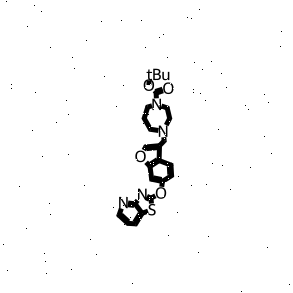 CC(C)(C)OC(=O)N1CCCN(Cc2coc3cc(Oc4nc5ncccc5s4)ccc23)CC1